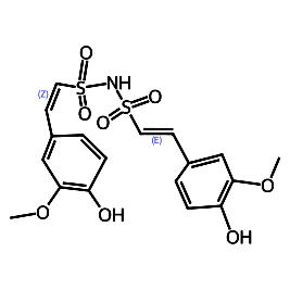 COc1cc(/C=C\S(=O)(=O)NS(=O)(=O)/C=C/c2ccc(O)c(OC)c2)ccc1O